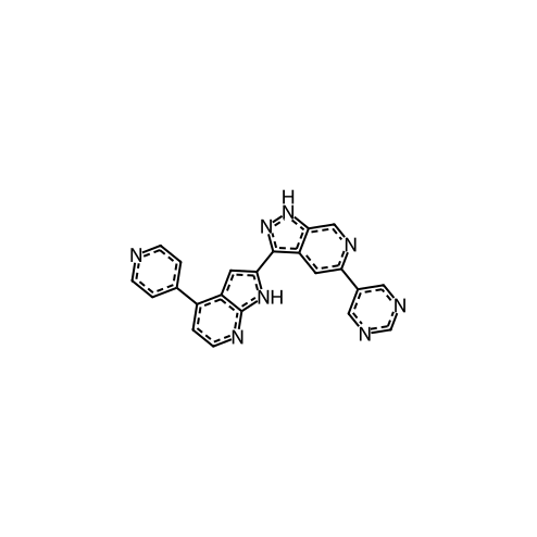 c1cc(-c2ccnc3[nH]c(-c4n[nH]c5cnc(-c6cncnc6)cc45)cc23)ccn1